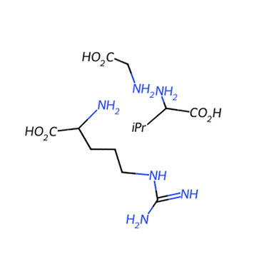 CC(C)C(N)C(=O)O.N=C(N)NCCCC(N)C(=O)O.NCC(=O)O